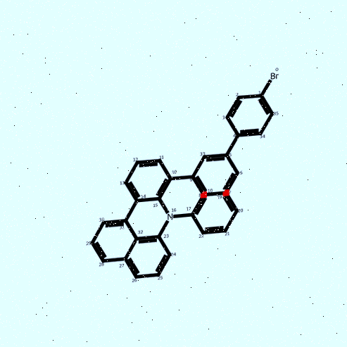 Brc1ccc(-c2cccc(-c3cccc4c3N(c3ccccc3)c3cccc5cccc-4c35)c2)cc1